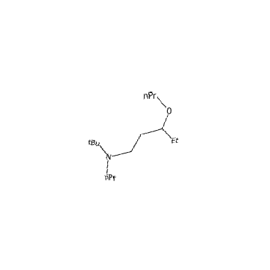 CCCOC(CC)CCN(CCC)C(C)(C)C